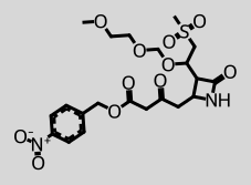 COCCOCOC(CS(C)(=O)=O)C1C(=O)NC1CC(=O)CC(=O)OCc1ccc([N+](=O)[O-])cc1